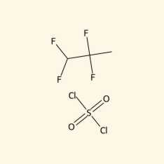 CC(F)(F)C(F)F.O=S(=O)(Cl)Cl